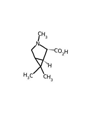 CN1CC2[C@@H]([C@H]1C(=O)O)C2(C)C